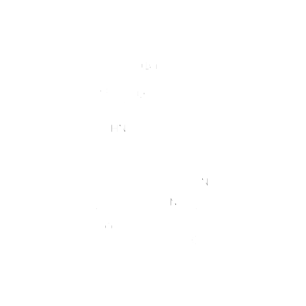 CC(C)(C)OC(=O)Nc1ccc2nc(CCl)n(CC3CCO3)c2c1